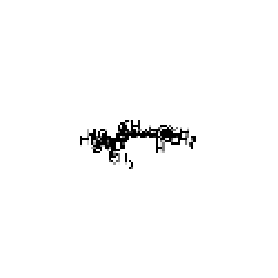 CCC1CCc2cc(OCCCCCCNC(=O)OC(C)(C)C)c(OC)cc2C2=CC(O)C(C(=O)O)=CN21